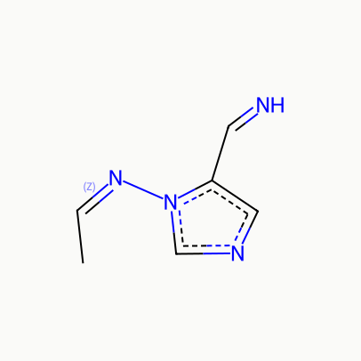 C/C=N\n1cncc1C=N